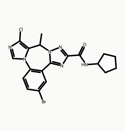 CC1c2c(Cl)ncn2-c2ccc(Br)cc2-c2nc(C(=O)NC3CCCC3)nn21